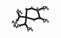 CC1CC(C(C)C)(C(C)C)CCN1C